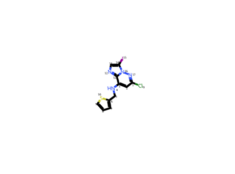 Clc1cc(NCc2cccs2)c2ncc(I)n2n1